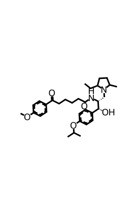 CCC1CCC(C)N1C[C@@H](NC(=O)CCCCC(=O)c1ccc(OC)cc1)[C@H](O)c1ccc(OC(C)C)cc1